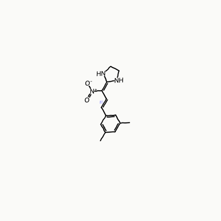 Cc1cc(C)cc(/C=C/C(=C2NCCN2)[N+](=O)[O-])c1